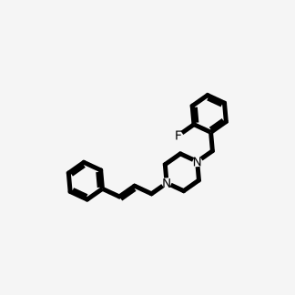 Fc1ccccc1CN1CCN(CC=Cc2ccccc2)CC1